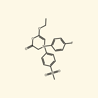 CCOC1=C[Si](c2ccc(F)cc2)(c2ccc(S(C)(=O)=O)cc2)CC(=O)O1